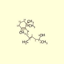 CC(=CCC(C)O)CCC1=C(C)CCCC1(C)C